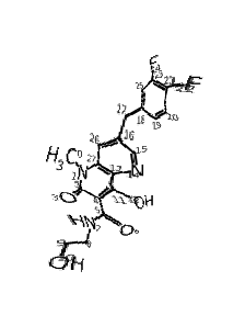 Cn1c(=O)c(C(=O)NCCO)c(O)c2ncc(Cc3ccc(F)c(F)c3)cc21